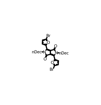 CCCCCCCCCCN1C(=O)C2=C(c3ccc(Br)o3)N(CCCCCCCCCC)C(=O)C2=C1c1ccc(Br)o1